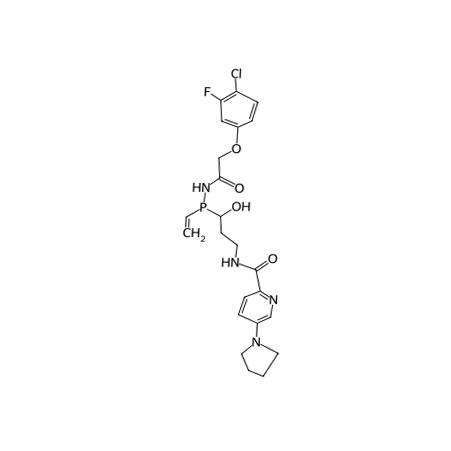 C=CP(NC(=O)COc1ccc(Cl)c(F)c1)C(O)CCNC(=O)c1ccc(N2CCCC2)cn1